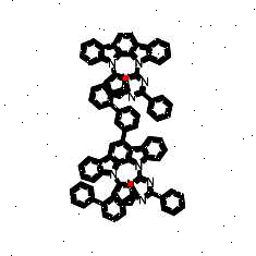 c1ccc(-c2cccc(-c3nc(-c4ccccc4)nc(-n4c5ccccc5c5c(-c6cccc(-c7ccccc7-c7nc(-c8ccccc8)nc(-n8c9ccccc9c9ccc%10c%11ccccc%11n(-c%11ccccc%11)c%10c98)n7)c6)cc6c7ccccc7n(-c7ccccc7)c6c54)n3)c2)cc1